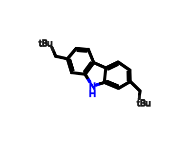 CC(C)(C)Cc1ccc2c(c1)[nH]c1cc(CC(C)(C)C)ccc12